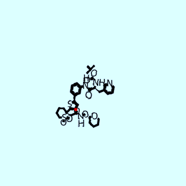 CC(C)(C)OC(=O)N[C@@H](Cc1cccnc1)C(=O)Nc1cccc(-c2ccc([C@@]3(CC(=O)NOC4CCCCO4)CCCCS3(=O)=O)s2)c1